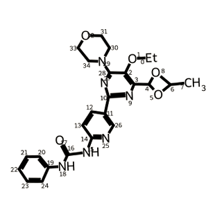 CCOc1c(C2OC(C)O2)nc(-c2ccc(NC(=O)Nc3ccccc3)nc2)nc1N1CCOCC1